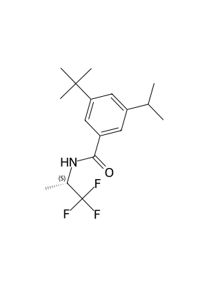 CC(C)c1cc(C(=O)N[C@@H](C)C(F)(F)F)cc(C(C)(C)C)c1